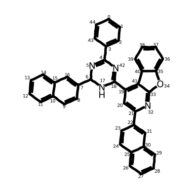 c1ccc(C2=NC(c3ccc4ccccc4c3)NC(c3cc(-c4ccc5ccccc5c4)nc4oc5ccccc5c34)=N2)cc1